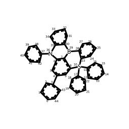 c1ccc(-c2cc3c4c(c2)S(c2ccccc2)(c2ccccc2)c2ccccc2B4c2ccccc2N3c2ccccc2)cc1